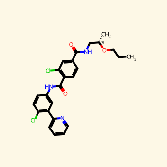 CCCO[C@@H](C)CNC(=O)c1ccc(C(=O)Nc2ccc(Cl)c(-c3ccccn3)c2)c(Cl)c1